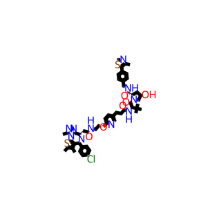 Cc1ncsc1-c1ccc(CNC(=O)[C@@H]2C[C@@H](O)CN2C(=O)[C@@H](NC(=O)CCc2ccc(OCCNC(=O)C[C@@H]3N=C(c4ccc(Cl)cc4)c4c(sc(C)c4C)-n4c(C)nnc43)nc2)C(C)(C)C)cc1